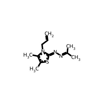 C=CCn1c(C)c(C)sc1=NN=C(C)C